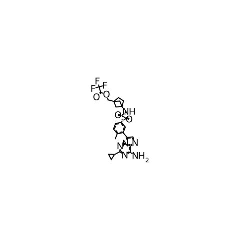 Cc1ccc(S(=O)(=O)NC23CCC(COC(=O)C(F)(F)F)(C2)C3)cc1-c1cnc2c(N)nc(C3CC3)nn12